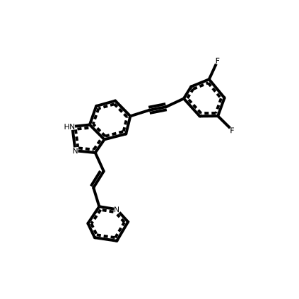 Fc1cc(F)cc(C#Cc2ccc3[nH]nc(C=Cc4ccccn4)c3c2)c1